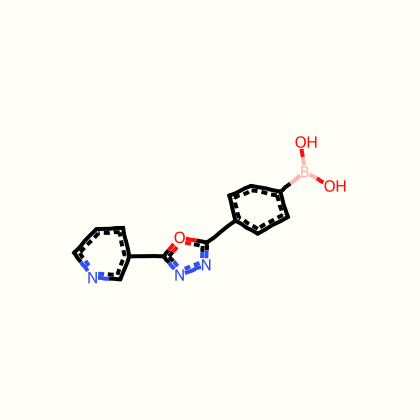 OB(O)c1ccc(-c2nnc(-c3cccnc3)o2)cc1